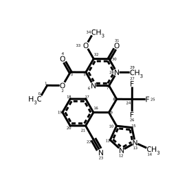 CCOC(=O)c1nc(C(C(c2cnn(C)c2)c2ccccc2C#N)C(F)(F)F)n(C)c(=O)c1OC